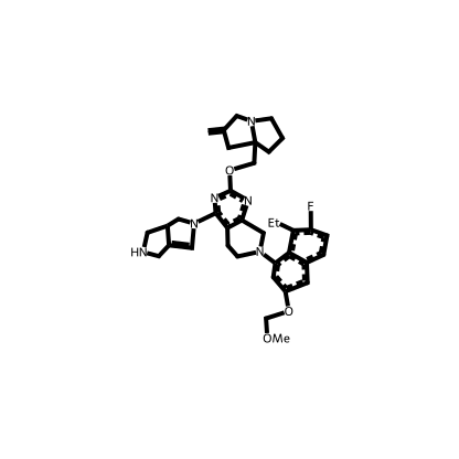 C=C1CN2CCCC2(COc2nc3c(c(N4C=C5CNCC5C4)n2)CCN(c2cc(OCOC)cc4ccc(F)c(CC)c24)C3)C1